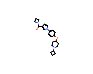 O=C(c1ccn(-c2ccc(OC3CCN(C4CCC4)CC3)cc2)c1)N1CCC1